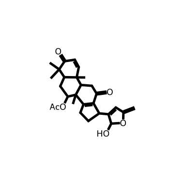 C=C1C=C(C2CCC3=C2C(=O)CC2C4(C)C=CC(=O)C(C)(C)C4CC(OC(C)=O)C32C)C(O)O1